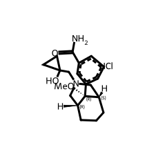 CO[C@@]1(c2cccc(C(N)=O)c2)[C@@H]2CCC[C@H]1CN(CC1(O)CC1)C2.Cl